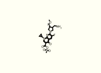 CO/N=C1/CN(c2nc3c(cc2F)c(=O)c(C(=O)OS(C)(=O)=O)cn3C2CC2)CC1CN